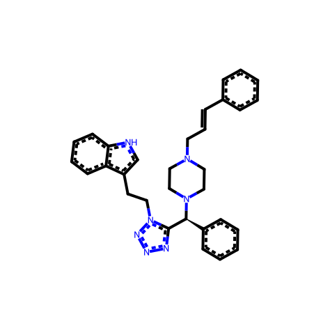 C(=C\c1ccccc1)/CN1CCN([C@@H](c2ccccc2)c2nnnn2CCc2c[nH]c3ccccc23)CC1